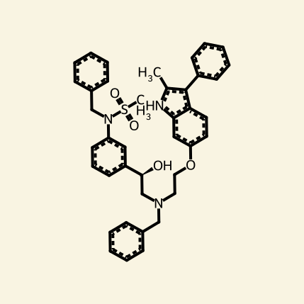 Cc1[nH]c2cc(OCCN(Cc3ccccc3)C[C@H](O)c3cccc(N(Cc4ccccc4)S(C)(=O)=O)c3)ccc2c1-c1ccccc1